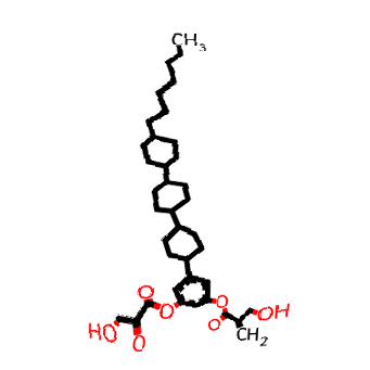 C=C(CO)C(=O)Oc1cc(OC(=O)C(=O)CO)cc(C2CCC(C3CCC(C4CCC(CCCCCCC)CC4)CC3)CC2)c1